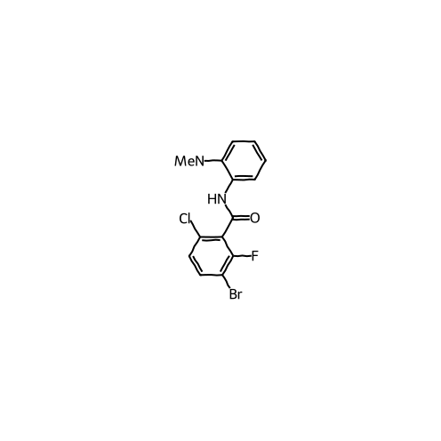 CNc1ccccc1NC(=O)c1c(Cl)ccc(Br)c1F